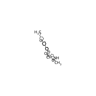 CCCC1CCC(c2ccc(-c3ccc(OC(=O)N(C)[C@@H]4CC[C@H](NC(=O)CC)C4)cc3)cc2)OC1